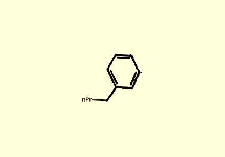 CCCCc1c[c]c[c]c1